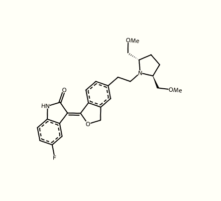 COC[C@@H]1CC[C@@H](COC)N1CCc1ccc2c(c1)COC2=C1C(=O)Nc2ccc(F)cc21